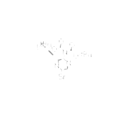 CC(C)(C)OC(=O)N(C(=O)OC(C)(C)C)c1ncc(Br)nc1C#CSI